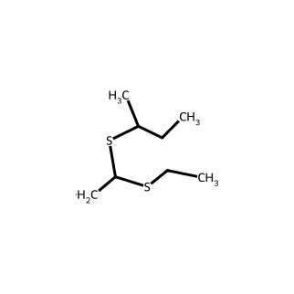 [CH2]C(SCC)SC(C)CC